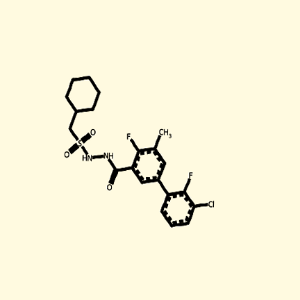 Cc1cc(-c2cccc(Cl)c2F)cc(C(=O)NNS(=O)(=O)CC2CCCCC2)c1F